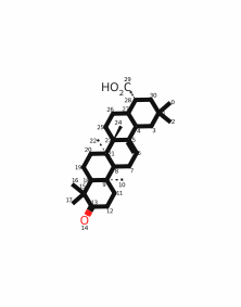 CC1(C)CC2C3=CCC4[C@@]5(C)CCC(=O)C(C)(C)C5CC[C@@]4(C)[C@]3(C)CCC2[C@H](C(=O)O)C1